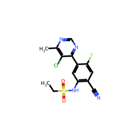 CCS(=O)(=O)Nc1cc(-c2ncnc(C)c2Cl)c(F)cc1C#N